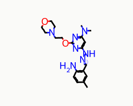 Cc1ccc(N)c(/C=N/Nc2cc(N(C)C)nc(OCCN3CCOCC3)n2)c1